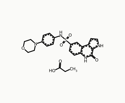 CCC(=O)O.O=c1[nH]c2ccc(S(=O)(=O)Nc3ccc(N4CCOCC4)cc3)cc2c2cc[nH]c12